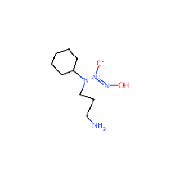 NCCCN(C1CCCCC1)[N+]([O-])=NO